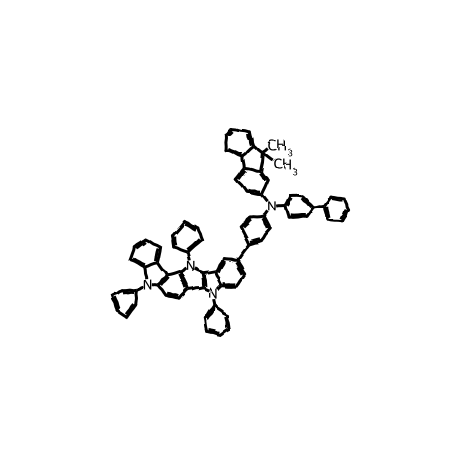 CC1(C)c2ccccc2-c2ccc(N(c3ccc(-c4ccccc4)cc3)c3ccc(-c4ccc5c(c4)c4c(c6ccc7c(c8ccccc8n7-c7ccccc7)c6n4-c4ccccc4)n5-c4ccccc4)cc3)cc21